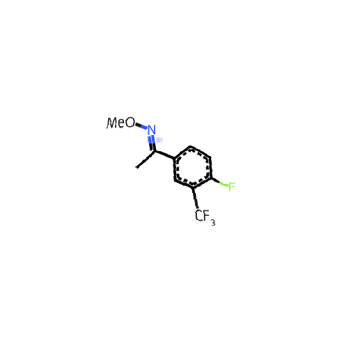 CO/N=C(\C)c1ccc(F)c(C(F)(F)F)c1